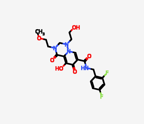 COCCN1CN(CCO)n2cc(C(=O)NCc3ccc(F)cc3F)c(=O)c(O)c2C1=O